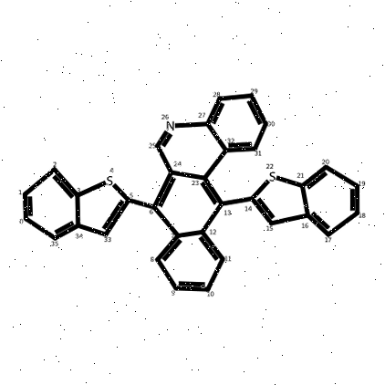 c1ccc2sc(-c3c4ccccc4c(-c4cc5ccccc5s4)c4c3cnc3ccccc34)cc2c1